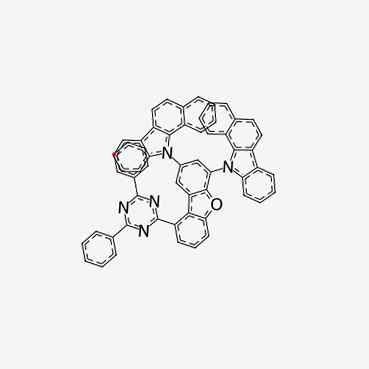 c1ccc(-c2nc(-c3ccccc3)nc(-c3cccc4oc5c(-n6c7ccccc7c7ccc8ccccc8c76)cc(-n6c7ccccc7c7ccc8ccccc8c76)cc5c34)n2)cc1